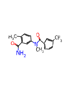 Cc1ccc(N(C)C(=O)c2cccc(C(F)(F)F)c2)cc1C(N)=O